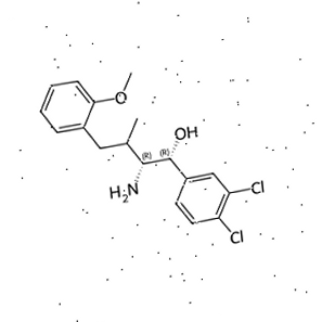 COc1ccccc1CC(C)[C@@H](N)[C@H](O)c1ccc(Cl)c(Cl)c1